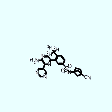 [2H]C([2H])([2H])c1ccc(S(=O)(=O)NC23CCC(C#N)(C2)C3)cc1-c1cnc(N)c(-c2cncnc2)n1